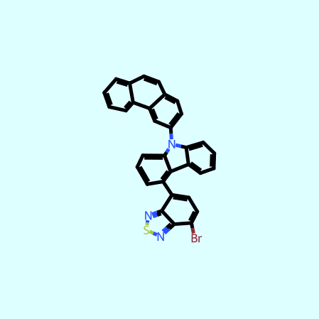 Brc1ccc(-c2cccc3c2c2ccccc2n3-c2ccc3ccc4ccccc4c3c2)c2nsnc12